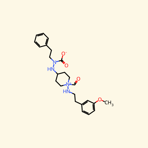 COc1cccc(CCN[N+]2(C=O)CCC(NN(CCc3ccccc3)C(=O)[O-])CC2)c1